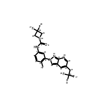 O=C(Nc1ccc(F)c(-n2cc3cc(CC(F)(F)F)cnc3n2)c1)N1CC(F)(F)C1